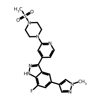 Cn1cc(-c2cc(F)c3[nH]nc(-c4ccnc(N5CCN(S(C)(=O)=O)CC5)c4)c3c2)cn1